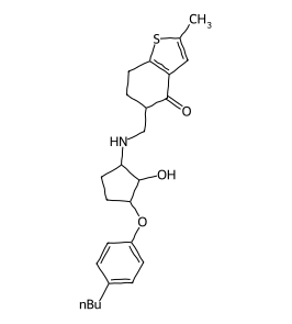 CCCCc1ccc(OC2CCC(NCC3CCc4sc(C)cc4C3=O)C2O)cc1